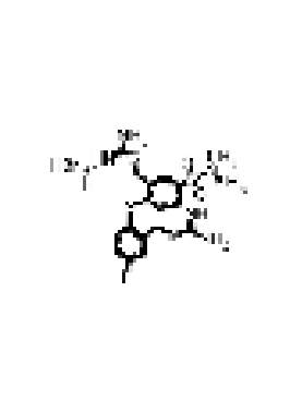 Br.Br.CN(C)S(=O)(=O)c1ccc(Sc2ccc(F)cc2CSC(=N)N)c(CSC(=N)N)c1